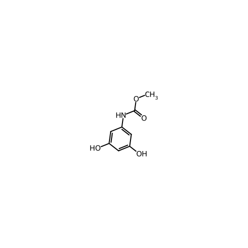 COC(=O)Nc1cc(O)cc(O)c1